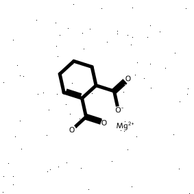 O=C([O-])C1=CCCCC1C(=O)[O-].[Mg+2]